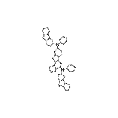 c1ccc(N(c2ccc3c(c2)sc2c4ccccc4c(N(c4ccccc4)c4ccc5sc6ccccc6c5c4)cc32)c2ccc3sc4ccccc4c3c2)cc1